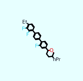 CCCC1CCC(c2ccc(-c3ccc(-c4ccc(CC)c(F)c4F)cc3)c(F)c2)OC1